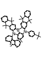 Cc1cc2c3c(c1)N(c1cccc4sc5ccccc5c14)c1cc4c(cc1B3c1cc3c(cc1N2c1ccc(C(C)(C)C)cc1)C(C)(C)c1ccccc1C3(C)C)C(C)(C)c1ccccc1C4(C)C